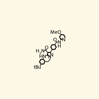 COc1ccnc(NC(=O)c2ccc(-c3nn4c(c3C(N)=O)Nc3ccc(C(C)(C)C)cc3CC4)cc2)c1